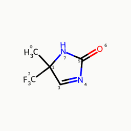 CC1(C(F)(F)F)C=NC(=O)N1